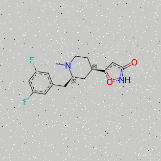 CN1CC[C@@H](c2cc(=O)[nH]o2)C[C@H]1Cc1cc(F)cc(F)c1